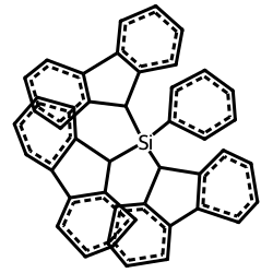 c1ccc([Si](C2c3ccccc3-c3ccccc32)(C2c3ccccc3-c3ccccc32)C2c3ccccc3-c3ccccc32)cc1